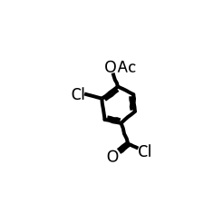 CC(=O)Oc1ccc(C(=O)Cl)cc1Cl